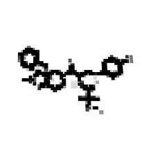 CN1N=C2CCN(C(=O)C(COc3ccc(Cl)cc3)NC(=O)C(C)(C)N)C[C@@]2(Cc2ccccc2)C1=O